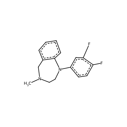 CN1CCN(c2ccc(F)c(F)c2)c2ccccc2C1